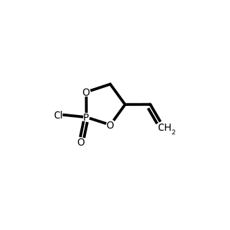 C=CC1COP(=O)(Cl)O1